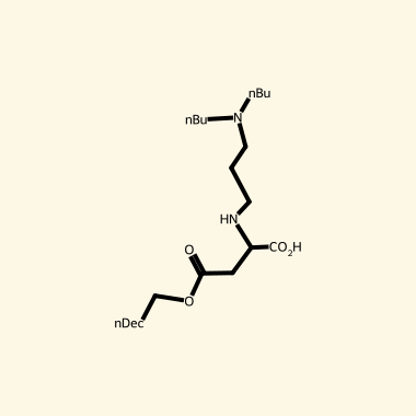 CCCCCCCCCCCOC(=O)CC(NCCCN(CCCC)CCCC)C(=O)O